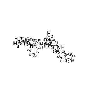 Cc1ccc(NC(=O)c2ccc3c(c2)OCCO3)cc1NC(=O)c1ccc2c(c1)CCCCN2C(=O)OC(C)(C)C